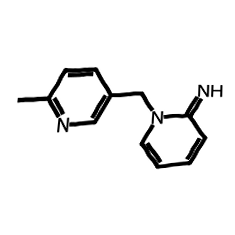 Cc1ccc(Cn2ccccc2=N)cn1